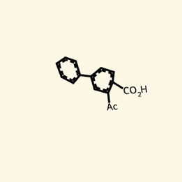 CC(=O)c1cc(-c2ccccc2)ccc1C(=O)O